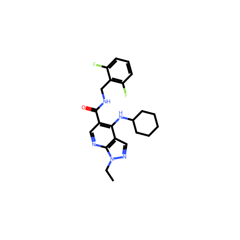 CCn1ncc2c(NC3CCCCC3)c(C(=O)NCc3c(F)cccc3F)cnc21